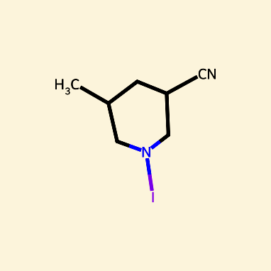 CC1CC(C#N)CN(I)C1